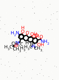 C/C(=N\OC(C)(C)C)c1cc(N)c(O)c2c1C[C@H]1C[C@H]3[C@@H](N(C)C)C(O)=C(C(N)=O)C(=O)[C@@]3(O)C(O)=C1C2=O